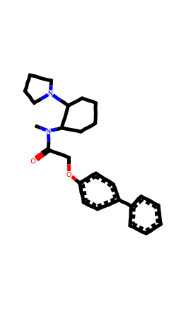 CN(C(=O)COc1ccc(-c2ccccc2)cc1)C1CCCCC1N1CCCC1